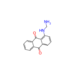 NCNc1cccc2c1C(=O)c1ccccc1C2=O